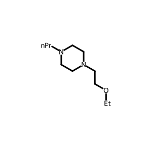 CCCN1CCN(CCOCC)CC1